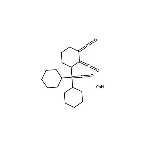 O=C=C1CCCC(P(=C=O)(C2CCCCC2)C2CCCCC2)C1=C=O.[CoH]